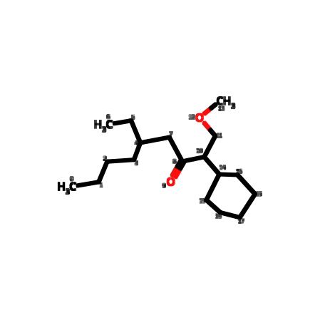 CCCCC(CC)CC(=O)C(COC)C1CCCCC1